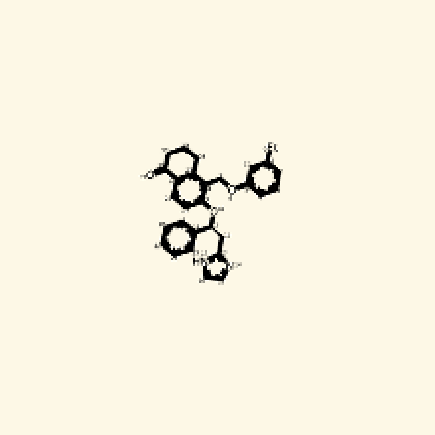 CCc1cccc(OCc2c(O[C@@H](Cc3ncc[nH]3)c3ccccc3)ccc3c2CCCC3=O)c1